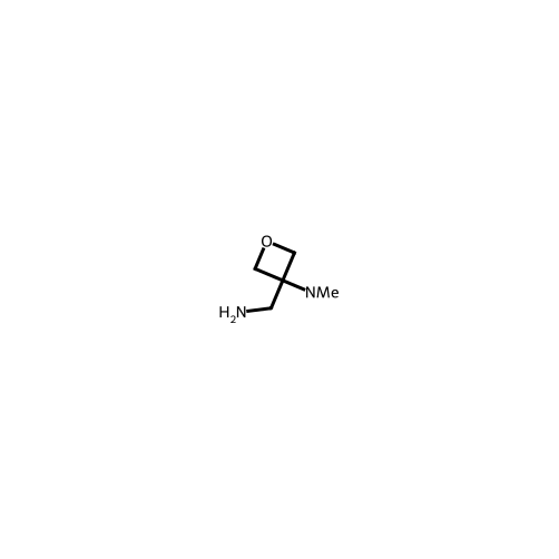 CNC1(CN)COC1